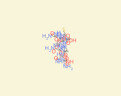 CC[C@H](C)[C@H](NC(=O)[C@H](CCC(N)=O)NC(=O)[C@H](C)NC(=O)[C@H](CC(C)C)NC(=O)[C@@H](NC(=O)[C@H](CCSC)NC(=O)[C@H](CCCCN)NC(=O)[C@@H](N)CC(N)=O)[C@@H](C)O)C(=O)N[C@@H](CCC(N)=O)C(=O)N[C@@H](CC(N)=O)C(=O)O